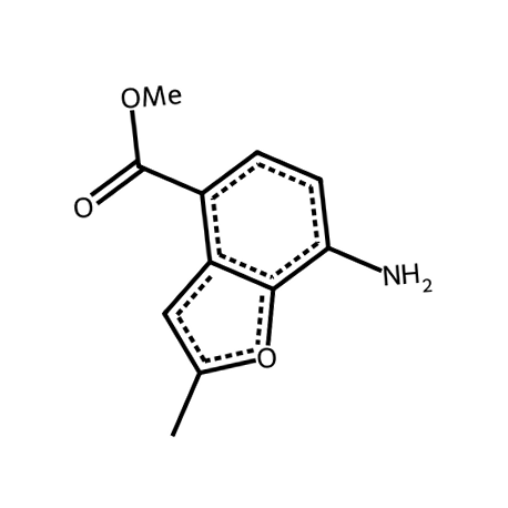 COC(=O)c1ccc(N)c2oc(C)cc12